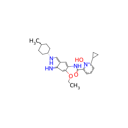 CCOC1=CC(=N)/C(=C\N[C@H]2CC[C@H](C)CC2)C=C1NC(=O)c1cccc(C2CC2)[n+]1O